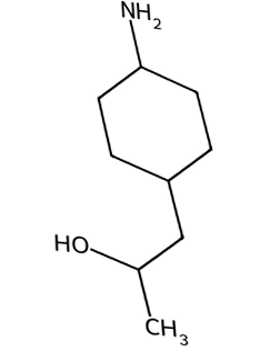 CC(O)CC1CCC(N)CC1